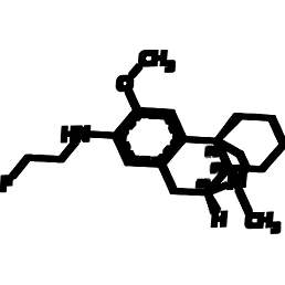 COc1cc2c(cc1NCCF)C[C@@H]1[C@H]3CCCC[C@]23CCN1C